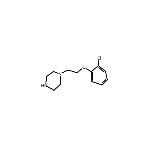 Clc1ccccc1OCCN1CCNCC1